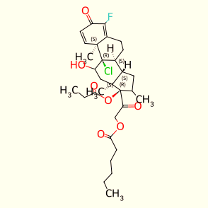 CCCCCC(=O)OCC(=O)[C@@]1(OC(=O)CC)C(C)C[C@H]2[C@@H]3CCC4=C(F)C(=O)C=C[C@]4(C)[C@@]3(Cl)C(O)C[C@@]21C